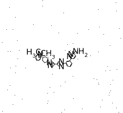 CN(C)C(=O)[C@H]1CC[C@H](n2cc(-c3cnc(-c4cccc(-c5ccc(N)nn5)c4)nc3)cn2)CC1